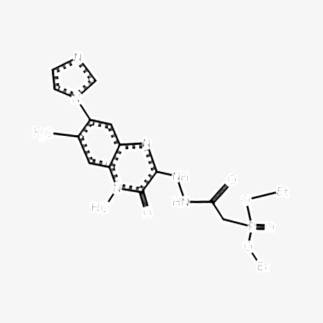 CCOP(=O)(CC(=O)NNc1nc2cc(-n3ccnc3)c(C(F)(F)F)cc2n(O)c1=O)OCC